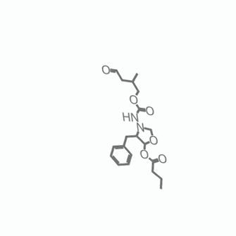 CCCC(=O)OC1OCN(NC(=O)OCC(C)CC=O)C1Cc1ccccc1